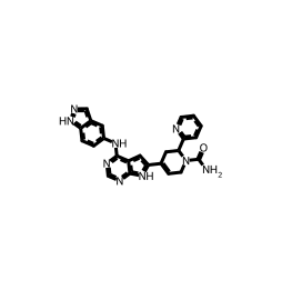 NC(=O)N1CC=C(c2cc3c(Nc4ccc5[nH]ncc5c4)ncnc3[nH]2)CC1c1ccccn1